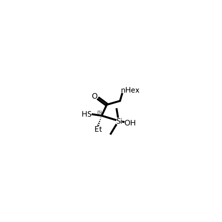 CCCCCCCC(=O)[C@@](S)(CC)[Si](C)(C)O